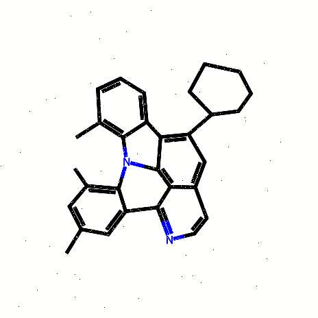 Cc1cc(C)c2c(c1)c1nccc3cc(C4CCCCC4)c4c5cccc(C)c5n2c4c31